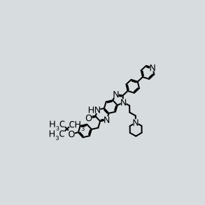 CC(C)(C)Oc1ccc(Cc2nc3cc4c(cc3[nH]c2=O)nc(-c2ccc(-c3ccncc3)cc2)n4CCCN2CCCCC2)cc1